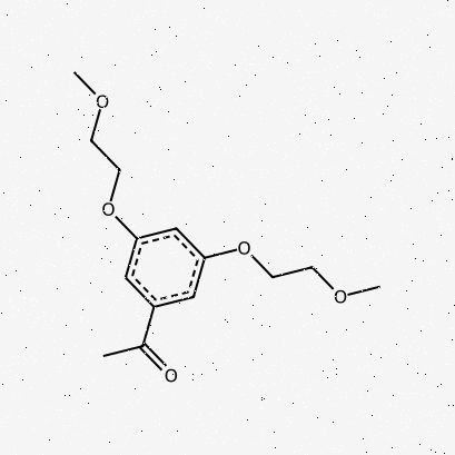 COCCOc1cc(OCCOC)cc(C(C)=O)c1